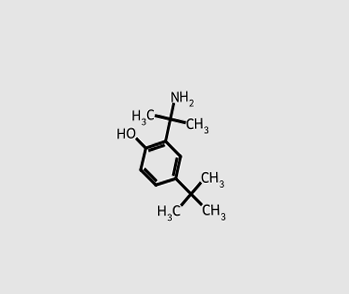 CC(C)(C)c1ccc(O)c(C(C)(C)N)c1